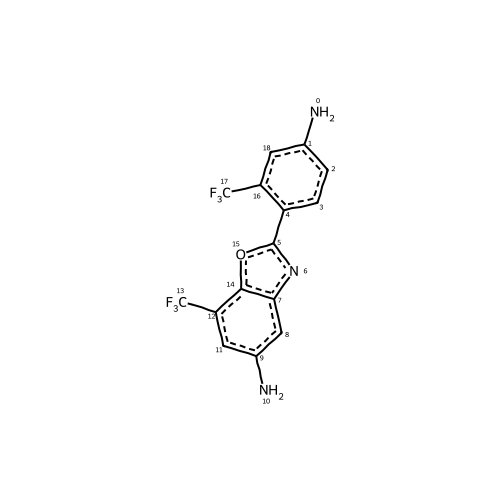 Nc1ccc(-c2nc3cc(N)cc(C(F)(F)F)c3o2)c(C(F)(F)F)c1